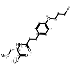 COC[C@H](NC(=O)[CH]Cc1ccc(OCCCF)cc1)C(N)=O